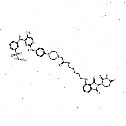 Cc1cnc(Nc2ccc(N3CCN(CC(=O)NCCCCCNc4cccc5c4C(=O)N(C4CCC(=O)NC4=O)C5=O)CC3)cc2)nc1Nc1cccc(S(=O)(=O)NC(C)(C)C)c1